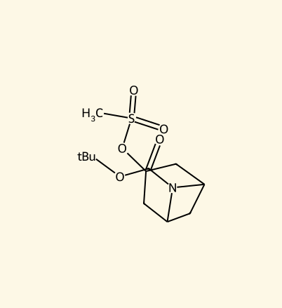 CC(C)(C)OC(=O)N1C2CC(OS(C)(=O)=O)CC1C2